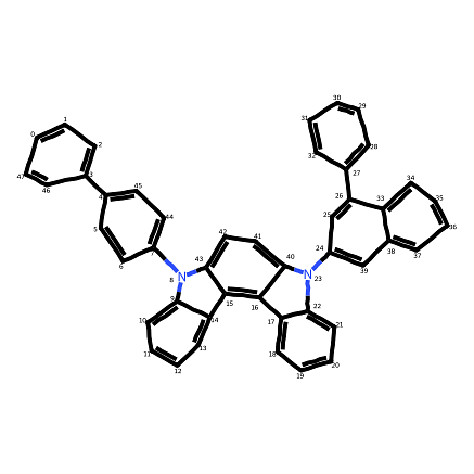 c1ccc(-c2ccc(-n3c4ccccc4c4c5c6ccccc6n(-c6cc(-c7ccccc7)c7ccccc7c6)c5ccc43)cc2)cc1